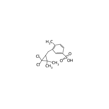 Cc1ccc(S(=O)(=O)O)cc1CC1C(C)(C)C1(Cl)Cl